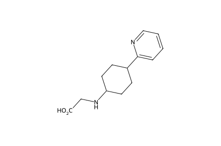 O=C(O)CNC1CCC(c2ccccn2)CC1